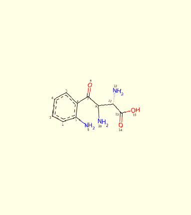 Nc1ccccc1C(=O)C(N)[C@H](N)C(=O)O